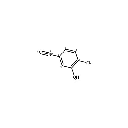 [C-]#[N+]c1ccc(Cl)c(O)c1